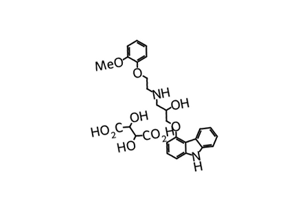 COc1ccccc1OCCNCC(O)COc1cccc2[nH]c3ccccc3c12.O=C(O)C(O)C(O)C(=O)O